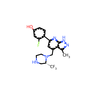 Cc1n[nH]c2nc(-c3ccc(O)cc3F)cc(CN3CCNC[C@H]3C(F)(F)F)c12